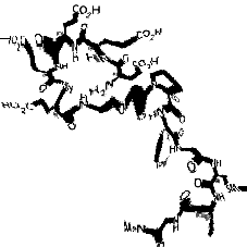 CNC(=O)CNC(=O)[C@H](C)NC(=O)[C@H](CSC)NC(=O)CNC(=O)[C@H](CC(C)C)NC(=O)[C@@H]1CCCN1C(=O)COCCNC(=O)[C@@H](CCC(=O)O)NC(=O)[C@@H](CCC(=O)O)NC(=O)[C@@H](CCC(=O)O)NC(=O)[C@@H](CCC(=O)O)NC(=O)[C@H](N)CCC(=O)O